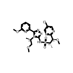 COC[C@@H](C)n1c(NS(=O)(=O)[C@@H](C)[C@H](OC)c2ncc(Cl)cn2)nnc1-c1cccc(OC)n1